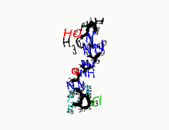 C[C@H](O)[C@H]1[C@H]2C[C@H]2CN1c1ncc(Cn2cc(NC(=O)c3cncc(-c4c(C(F)F)ccc(Cl)c4F)n3)cn2)cn1